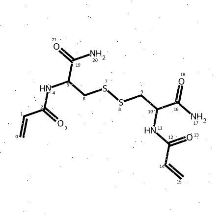 C=CC(=O)NC(CSSCC(NC(=O)C=C)C(N)=O)C(N)=O